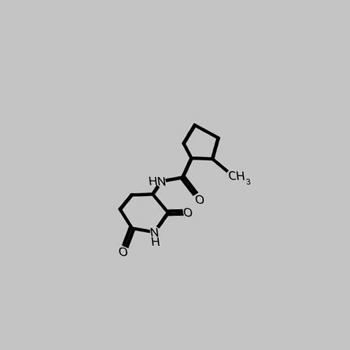 CC1CCCC1C(=O)NC1CCC(=O)NC1=O